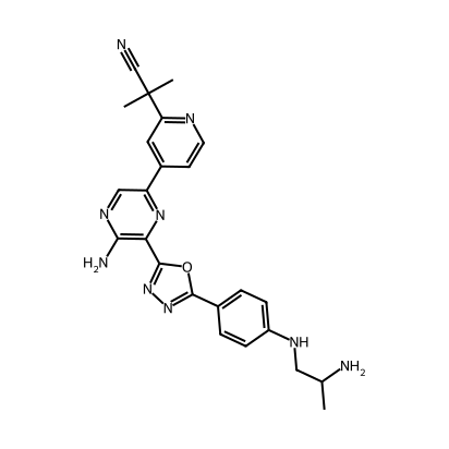 CC(N)CNc1ccc(-c2nnc(-c3nc(-c4ccnc(C(C)(C)C#N)c4)cnc3N)o2)cc1